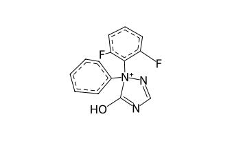 OC1=NC=N[N+]1(c1ccccc1)c1c(F)cccc1F